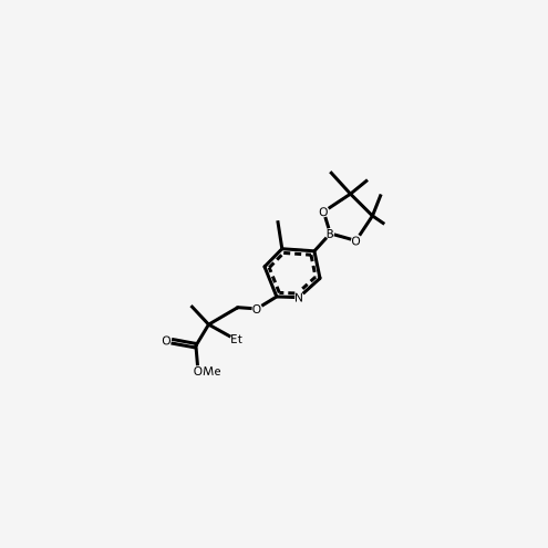 CCC(C)(COc1cc(C)c(B2OC(C)(C)C(C)(C)O2)cn1)C(=O)OC